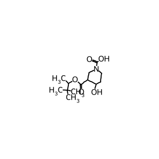 CC(OC(=O)C1CN(C(=O)O)CCC1O)C(C)(C)C